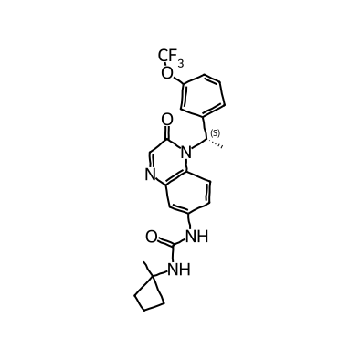 C[C@@H](c1cccc(OC(F)(F)F)c1)n1c(=O)cnc2cc(NC(=O)NC3(C)CCC3)ccc21